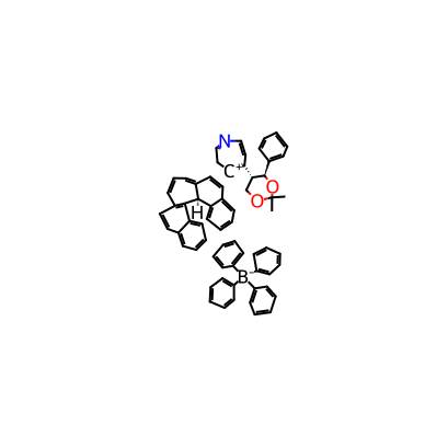 C1=Cc2ccc3ccccc3c2[C@H]2C(=C1)C=Cc1ccccc12.CC1(C)OC[C@H](C2=[C+]CC=NC=C2)[C@@H](c2ccccc2)O1.c1ccc([B-](c2ccccc2)(c2ccccc2)c2ccccc2)cc1